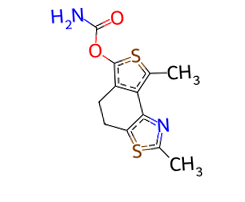 Cc1nc2c(s1)CCc1c(OC(N)=O)sc(C)c1-2